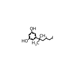 CC(C)(CCCI)c1cc(O)cc(O)c1